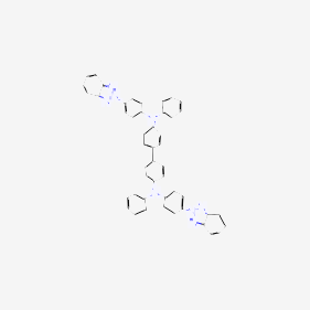 c1ccc(N(c2ccc(-c3ccc(N(c4ccccc4)c4ccc(-n5nc6ccccc6n5)cc4)cc3)cc2)c2ccc(-n3nc4ccccc4n3)cc2)cc1